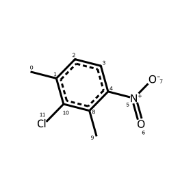 Cc1ccc([N+](=O)[O-])c(C)c1Cl